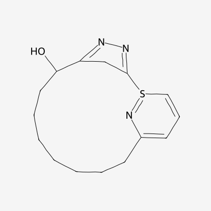 OC1CCCCCCCC2=CC=CS(=N2)C2=NN=C1C2